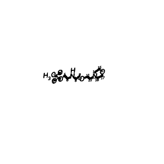 CS(=O)(=O)OCCNCCOCCN1CCOCC1